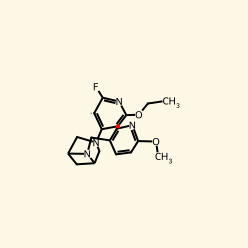 CCOc1cc(N2CC3CC(C2)N3Cc2ccc(OC)nc2)[c]c(F)n1